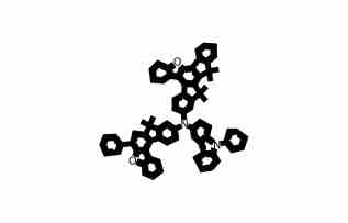 CC1(C)c2cc(N(c3ccc4c(c3)C(C)(C)c3c5c(c6oc7ccccc7c6c3-4)-c3ccccc3C5(C)C)c3ccc4c(c3)c3ccccc3n4-c3ccccc3)ccc2-c2c1cc(-c1ccccc1)c1oc3ccccc3c21